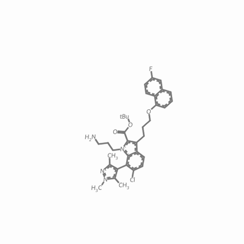 Cc1nn(C)c(C)c1-c1c(Cl)ccc2c(CCCOc3cccc4cc(F)ccc34)c(C(=O)OC(C)(C)C)n(CCCN)c12